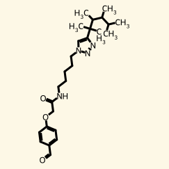 CC(C)C(C)C(C)C(C)(C)c1cn(CCCCCNC(=O)COc2ccc(C=O)cc2)nn1